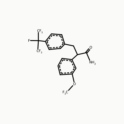 NC(=O)C(Cc1ccc(C(F)(C(F)(F)F)C(F)(F)F)cc1)c1cccc(OC(F)(F)F)c1